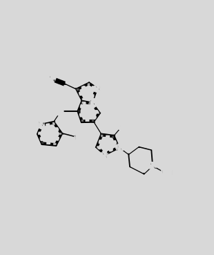 CN1CCC(n2ncc(-c3cc(Sc4ncccc4F)c4c(C#N)cnn4c3)c2Cl)CC1